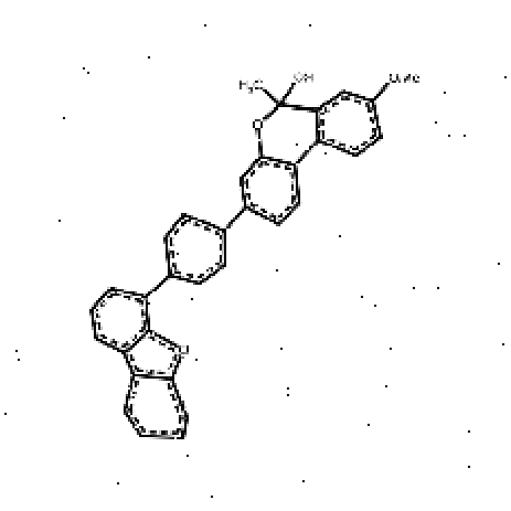 COc1ccc2c(c1)C(C)(O)Oc1cc(-c3ccc(-c4cccc5c4oc4ccccc45)cc3)ccc1-2